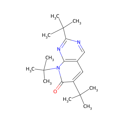 CC(C)(C)c1ncc2cc(C(C)(C)C)c(=O)n(C(C)(C)C)c2n1